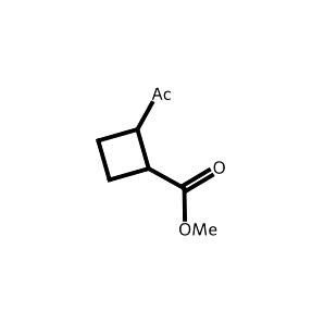 COC(=O)C1CCC1C(C)=O